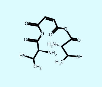 CC(S)[C@H](N)C(=O)OC(=O)/C=C\C(=O)OC(=O)[C@@H](N)C(C)S